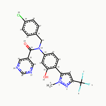 Cn1nc(C(F)(F)F)cc1-c1ccc(N(Cc2ccc(Cl)cc2)C(=O)c2cncnc2)cc1O